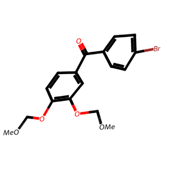 COCOc1ccc(C(=O)c2ccc(Br)cc2)cc1OCOC